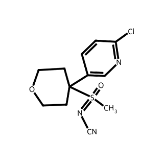 CS(=O)(=NC#N)C1(c2ccc(Cl)nc2)CCOCC1